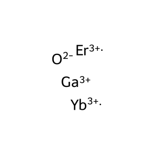 [Er+3].[Ga+3].[O-2].[Yb+3]